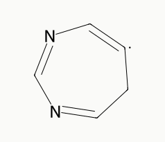 [C]1=CN=CN=CC1